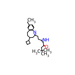 CCc1ccc2c(c1)CCC(C1CCC1)C/C(CCC1NC1C(=O)CC(C)(C)C)=N\2